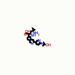 NC1(Cc2[nH]c3c(c2C(=O)O)CCc2cnc(-c4ccc(N5CC(O)C5)nc4)cc2-3)CC1